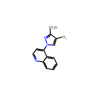 CCOC(=O)c1nn(-c2ccnc3ccccc23)cc1C(F)(F)F